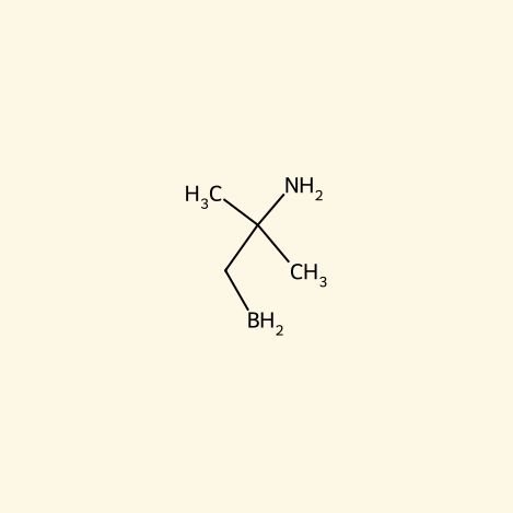 BCC(C)(C)N